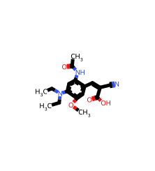 CCN(CC)c1cc(NC(C)=O)c(C=C(C#N)C(=O)O)cc1OC